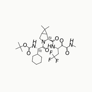 CNC(=O)C(=O)C(CC(F)(F)F)NC(=O)[C@@H]1C2C(CN1C(=O)[C@@H](NC(=O)OC(C)(C)C)C1CCCCC1)C2(C)C